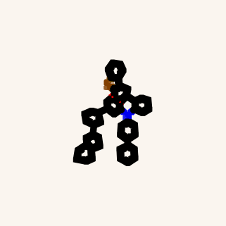 c1ccc(-c2ccc(N(c3cccc(-c4cccc(-c5ccc6ccccc6c5)c4)c3)c3ccccc3-c3ccc4sc5ccccc5c4c3)cc2)cc1